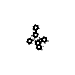 c1ccc(N(c2ccc3c(c2)sc2ccccc23)c2cc3ccccc3c3c2sc2ccccc23)cc1